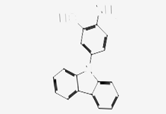 Nc1ccc(-n2c3ccccc3c3ccccc32)cc1O